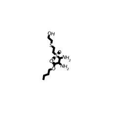 CCCCOC(=O)C(N)C(N)S(=O)(=O)CCSCCO